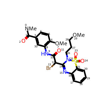 CNC(=O)c1ccc(OC)c(NC(=O)C(Br)C2=Nc3ccccc3S(=O)(=O)N2CCCOC)c1